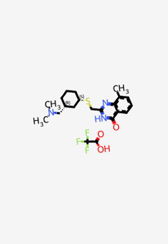 Cc1cccc2c(=O)[nH]c(CS[C@H]3CCC[C@@H](CN(C)C)C3)nc12.O=C(O)C(F)(F)F